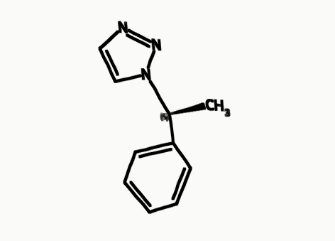 C[C@@H](c1ccccc1)n1ccnn1